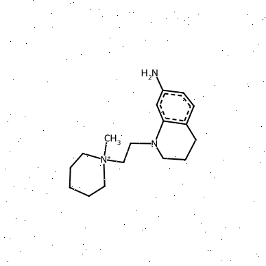 C[N+]1(CCN2CCCc3ccc(N)cc32)CCCCC1